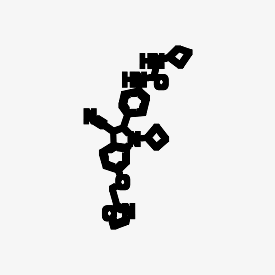 N#CC1c2ccc(OCc3ncco3)cc2N(C2CCC2)C1c1ccc(NC(=O)NC2CCC2)cc1